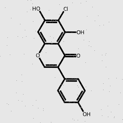 O=c1c(-c2ccc(O)cc2)coc2cc(O)c(Cl)c(O)c12